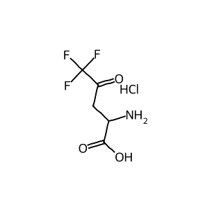 Cl.NC(CC(=O)C(F)(F)F)C(=O)O